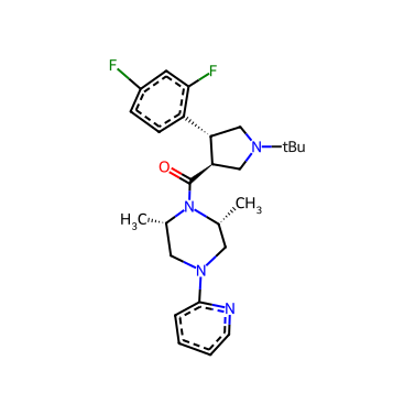 C[C@@H]1CN(c2ccccn2)C[C@H](C)N1C(=O)[C@@H]1CN(C(C)(C)C)C[C@H]1c1ccc(F)cc1F